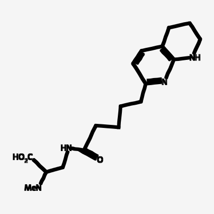 CNC(CNC(=O)CCCCc1ccc2c(n1)NCCC2)C(=O)O